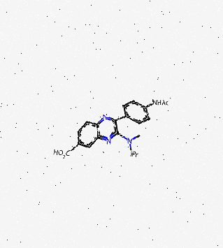 CC(=O)Nc1ccc(-c2nc3ccc(C(=O)O)cc3nc2N(C)C(C)C)cc1